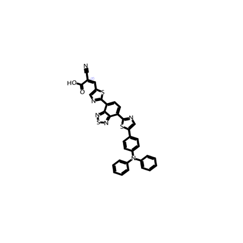 N#C/C(=C/c1cnc(-c2ccc(-c3ncc(-c4ccc(N(c5ccccc5)c5ccccc5)cc4)s3)c3nsnc23)s1)C(=O)O